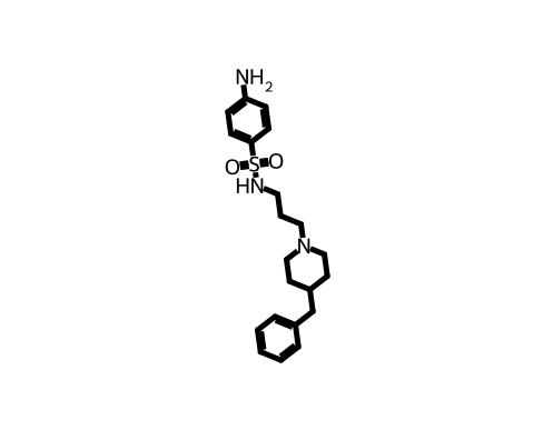 Nc1ccc(S(=O)(=O)NCCCN2CCC(Cc3ccccc3)CC2)cc1